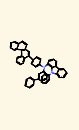 c1ccc(-c2cccc(N(c3ccc(-c4cc5ccc6ccccc6c5c5ccccc45)cc3)c3cccc4c5ccccc5n(-c5ccccc5)c34)c2)cc1